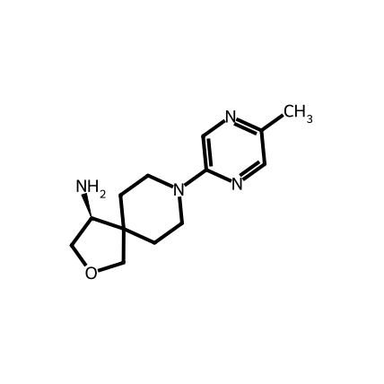 Cc1cnc(N2CCC3(CC2)COC[C@H]3N)cn1